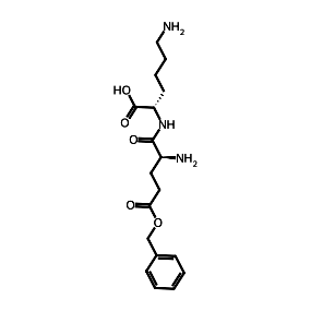 NCCCC[C@H](NC(=O)[C@@H](N)CCC(=O)OCc1ccccc1)C(=O)O